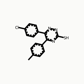 Cc1ccc(-c2nc(S)nnc2-c2ccc(Cl)cc2)cc1